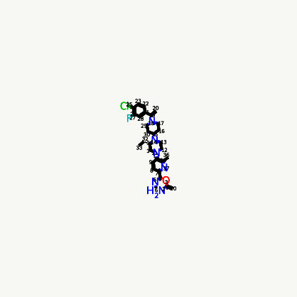 C=C(N)O/C(=N\C)c1ccc(N2CCN(C3CCN(C(=C)c4ccc(Cl)c(F)c4)CC3)[C@@H](CC)C2)c(C)n1